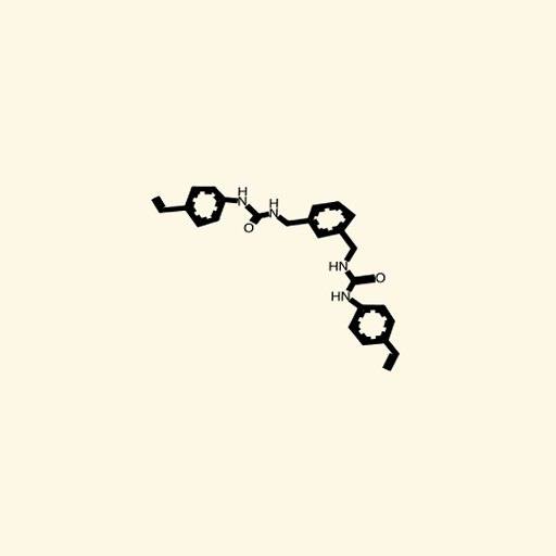 C=Cc1ccc(NC(=O)NCc2cccc(CNC(=O)Nc3ccc(C=C)cc3)c2)cc1